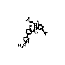 CN(C)CCCN(C)c1ccc(C2CC2)cc1NC(=O)c1cc(-c2cnc(N)nc2)ccc1F